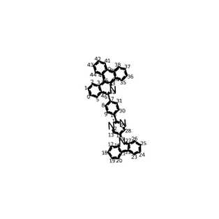 c1ccc2c(c1)c(-c1ccc(-c3ncc(-n4c5ccccc5c5ccccc54)cn3)cc1)nc1c3ccccc3c3ccccc3c21